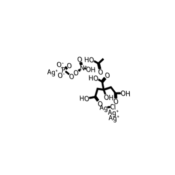 CC(=O)O.O=C(O)CC(O)(CC(=O)O)C(=O)O.O=P([O-])([O-])[O-].O=[N+]([O-])O.[Ag+].[Ag+].[Ag+].[Cl][Ag]